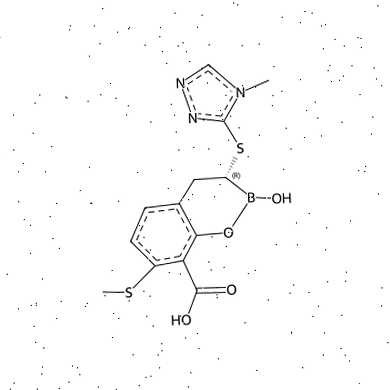 CSc1ccc2c(c1C(=O)O)OB(O)[C@@H](Sc1nncn1C)C2